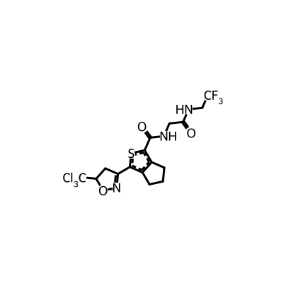 O=C(CNC(=O)c1sc(C2=NOC(C(Cl)(Cl)Cl)C2)c2c1CCC2)NCC(F)(F)F